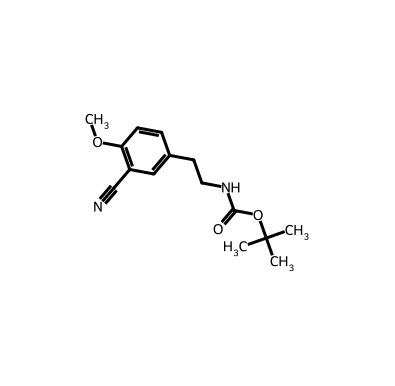 COc1ccc(CCNC(=O)OC(C)(C)C)cc1C#N